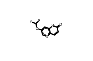 O=C1C=Cc2ncc(OC(F)F)cc2[N]1